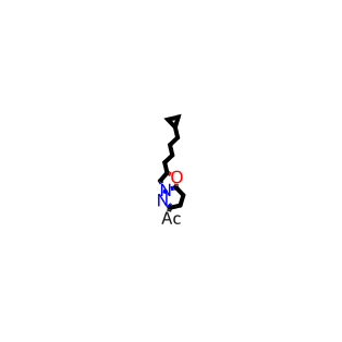 CC(=O)C1=NN2CC(CCCCC3CC3)OC2CC1